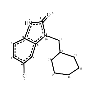 O=c1[nH]c2ccc(Cl)cc2n1CC1CCCCC1